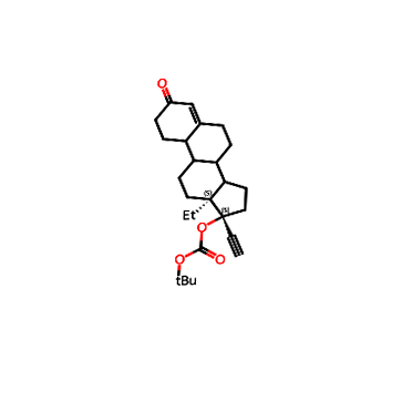 C#C[C@]1(OC(=O)OC(C)(C)C)CCC2C3CCC4=CC(=O)CCC4C3CC[C@@]21CC